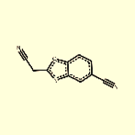 N#CCc1nc2cc(C#N)ccc2o1